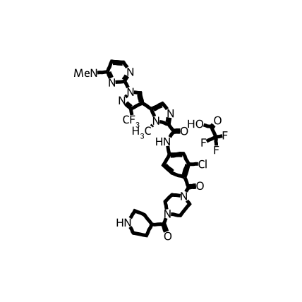 CNc1ccnc(-n2cc(-c3cnc(C(=O)Nc4ccc(C(=O)N5CCN(C(=O)C6CCNCC6)CC5)c(Cl)c4)n3C)c(C(F)(F)F)n2)n1.O=C(O)C(F)(F)F